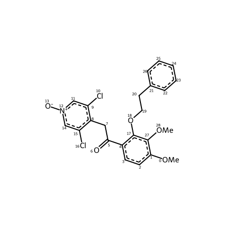 COc1ccc(C(=O)Cc2c(Cl)c[n+]([O-])cc2Cl)c(OCCc2ccccc2)c1OC